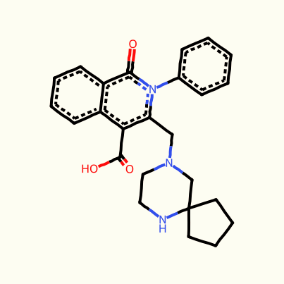 O=C(O)c1c(CN2CCNC3(CCCC3)C2)n(-c2ccccc2)c(=O)c2ccccc12